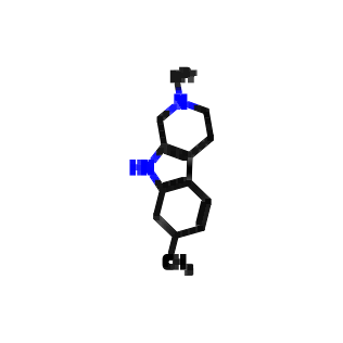 CCCN1CCc2c([nH]c3c2C=CC(C)C3)C1